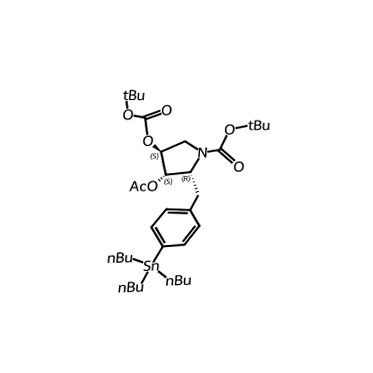 CCC[CH2][Sn]([CH2]CCC)([CH2]CCC)[c]1ccc(C[C@@H]2[C@H](OC(C)=O)[C@@H](OC(=O)OC(C)(C)C)CN2C(=O)OC(C)(C)C)cc1